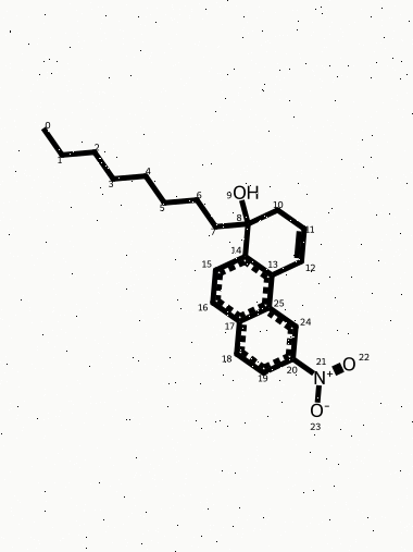 CCCCCCCCC1(O)CC=Cc2c1ccc1ccc([N+](=O)[O-])cc21